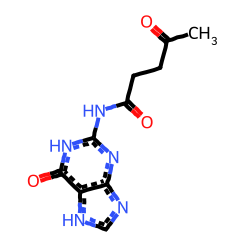 CC(=O)CCC(=O)Nc1nc2nc[nH]c2c(=O)[nH]1